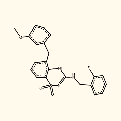 COc1cccc(Cc2cccc3c2NC(NCc2ccccc2F)=NS3(=O)=O)c1